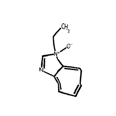 CC[N+]1([O-])C=Nc2ccccc21